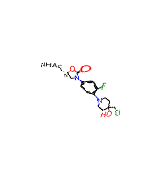 CC(=O)NC[C@H]1CN(c2ccc(N3CCC(O)(CCl)CC3)c(F)c2)C(=O)O1